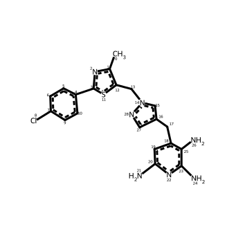 Cc1nc(-c2ccc(Cl)cc2)sc1Cn1cc(Cc2cc(N)nc(N)c2N)cn1